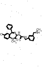 CNCc1cccc(CNC(=S)NC2N=C(c3ccccc3)c3cc(Cl)ccc3N(C)C2=O)c1